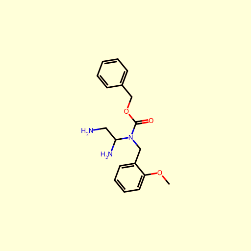 COc1ccccc1CN(C(=O)OCc1ccccc1)C(N)CN